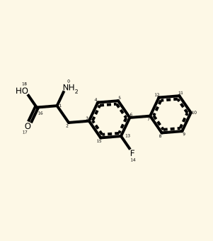 NC(Cc1ccc(-c2ccccc2)c(F)c1)C(=O)O